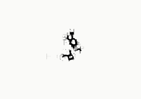 COC(=O)c1ccoc1CN(CC(F)(F)F)c1ccc(C#N)c(C(F)(F)F)c1